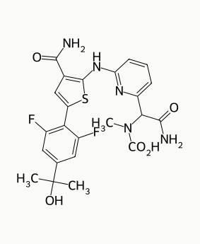 CN(C(=O)O)C(C(N)=O)c1cccc(Nc2sc(-c3c(F)cc(C(C)(C)O)cc3F)cc2C(N)=O)n1